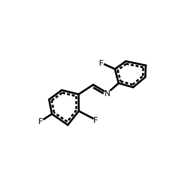 Fc1ccc(C=Nc2ccccc2F)c(F)c1